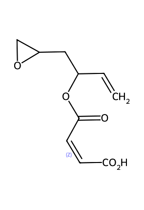 C=CC(CC1CO1)OC(=O)/C=C\C(=O)O